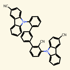 N#Cc1ccc2c(c1)c1ccccc1n2-c1ccccc1-c1cccc(-c2cccc(-n3c4ccccc4c4cc(C#N)ccc43)c2C#N)c1